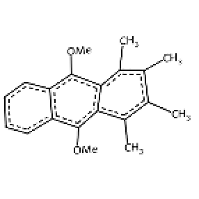 COc1c2ccccc2c(OC)c2c(C)c(C)c(C)c(C)c12